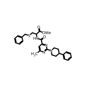 COC(=O)C(CSCc1ccccc1)NC(=O)c1cc(C)nc(N2CCC(c3ccccc3)CC2)n1